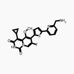 COc1c(-c2ccc(-c3cccc(CN)n3)s2)c(F)cn2c(=O)[nH]c(=O)c(C3CC3)c12